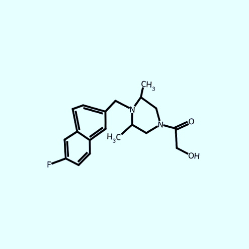 CC1CN(C(=O)CO)CC(C)N1Cc1ccc2cc(F)ccc2c1